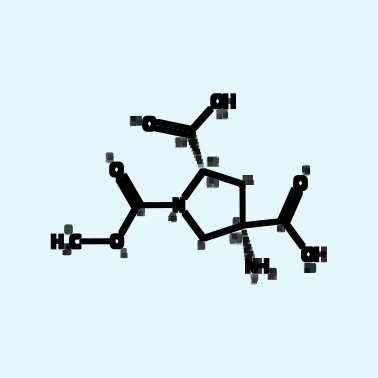 COC(=O)N1C[C@](N)(C(=O)O)C[C@H]1C(=O)O